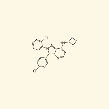 Clc1ccc(-c2c3ncnc(NC4CCC4)c3nn2-c2ccccc2Cl)cc1